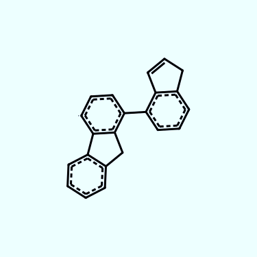 [c]1ccc(-c2cccc3c2C=CC3)c2c1-c1ccccc1C2